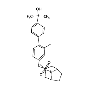 Cc1cc(CC2CC3CCC(C2)N3S(C)(=O)=O)ccc1-c1ccc(C(O)(C(F)(F)F)C(F)(F)F)cc1